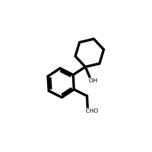 O=CCc1ccccc1C1(O)CCCCC1